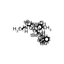 C=CCNC(=O)C(=O)C(CCCC)NC(=O)[C@@H]1CC(Cl)(Cl)C(C)CN1C(=O)[C@@H](NC(=O)NC1(CS(=O)(=O)C(C)(C)C)CCCCC1)C(C)(C)C